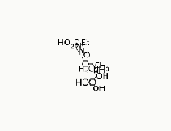 CCC1CN(C(=O)Cc2cccc(CC(C)(C)NCC(O)c3cc(O)cc(O)c3)c2)CCN1C(=O)O